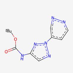 CC(C)(C)OC(=O)Nc1cnn(-c2ccnnc2)n1